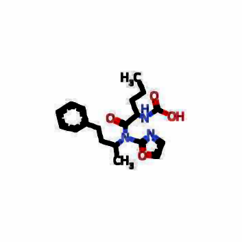 CCCC(NC(=O)O)C(=O)N(c1ncco1)C(C)CCc1ccccc1